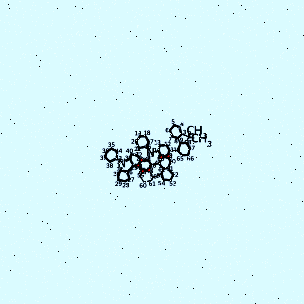 CC1(C)c2ccccc2-c2c(-c3ccc(N(c4ccccc4-c4ccc5c6ccccc6n(-c6ccccc6)c5c4)c4ccccc4-c4cccc5cccc(C6CCCCC6)c45)cc3)cccc21